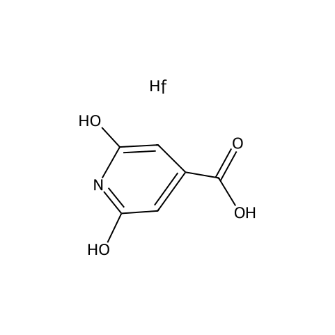 O=C(O)c1cc(O)nc(O)c1.[Hf]